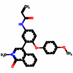 C=CC(=O)Nc1ccc(Oc2ccc(OC)cc2)c(-c2cn(C)c(=O)c3ccccc23)c1